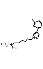 Cc1cccc(-c2cnn(CCCCCCN(C(=O)O)C(C)(C)C)c2)n1